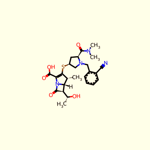 C[C@@H](O)[C@H]1C(=O)N2C(C(=O)O)=C(S[C@H]3C[C@@H](C(=O)N(C)C)N(Cc4ccccc4C#N)C3)[C@H](C)[C@H]12